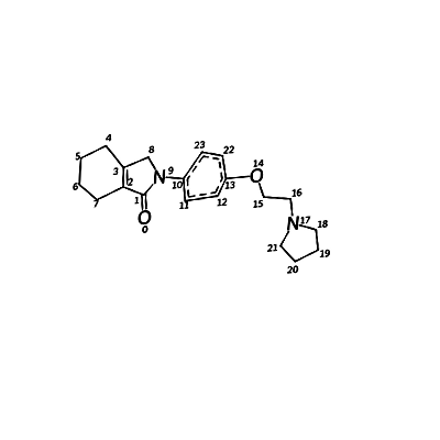 O=C1C2=C(CCCC2)CN1c1ccc(OCCN2CCCC2)cc1